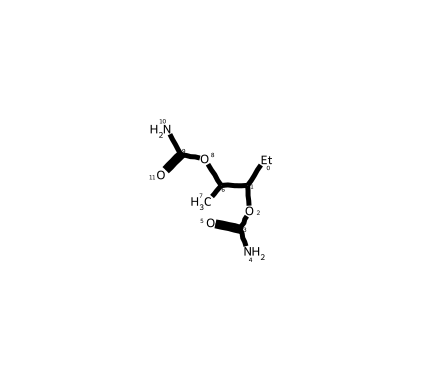 CCC(OC(N)=O)C(C)OC(N)=O